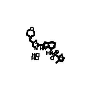 Cc1ccsc1S(=O)(=O)Nc1cccc2cc(C3=NCC(CN4CCOCC4)S3)[nH]c12.Cl.Cl